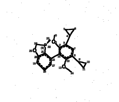 COc1c(C2CC2)cc(C2CC2)c(OC)c1-c1cccc2c1[P@](C)CO2